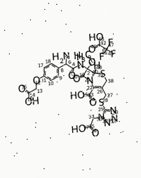 CO[C@@]1(NC(=O)C(N)c2ccc(OCC(=O)O)cc2)C(=O)N2C(C(=O)O)=C(CSc3nnnn3CC(=O)O)CS[C@H]21.O=C(O)C(F)(F)F